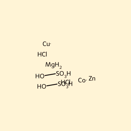 Cl.Cl.O=S(=O)(O)O.O=S(=O)(O)O.[Co].[Cu].[MgH2].[Zn]